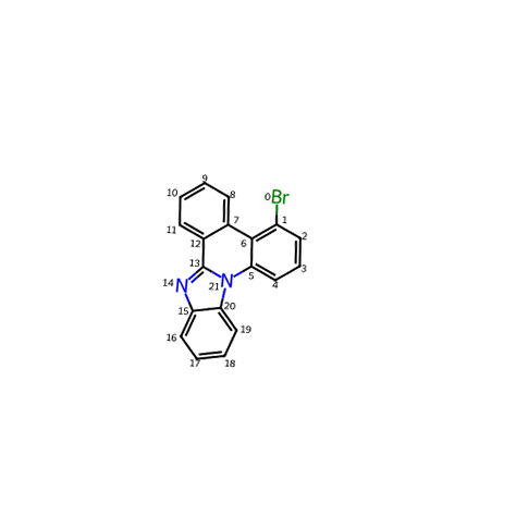 Brc1cccc2c1c1ccccc1c1nc3ccccc3n21